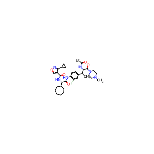 CCC(=O)N[C@@H](C(=O)N1CCN(C)CC1)[C@@H](C)c1ccc(NC(=O)[C@@H](NC(=O)c2conc2C2CC2)C2CCCCCC2)c(F)c1